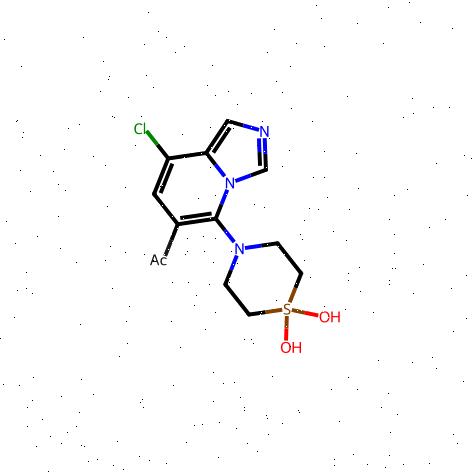 CC(=O)c1cc(Cl)c2cncn2c1N1CCS(O)(O)CC1